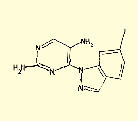 Nc1ncc(N)c(-n2ncc3ccc(I)cc32)n1